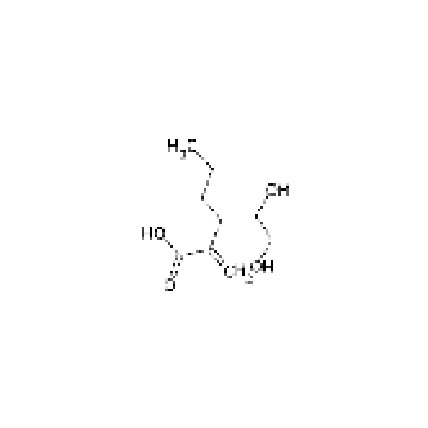 C=C(CCCC)C(=O)O.OCCO